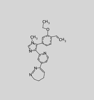 C=Cc1ccc(-c2c(-c3cc(C4=CCCCN=N4)ccn3)ncn2C)cc1OCC